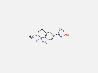 C/C(=N\O)c1ccc2c(c1)CCC(C)C2(C)I